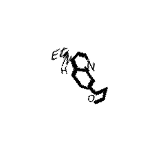 CCNc1ccnc2cc(-c3ccco3)ccc12